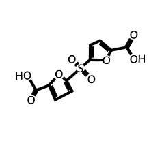 O=C(O)c1ccc(S(=O)(=O)c2ccc(C(=O)O)o2)o1